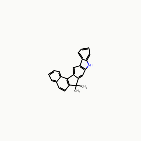 CC1(C)c2cc3[nH]c4ccccc4c3cc2-c2c1ccc1ccccc21